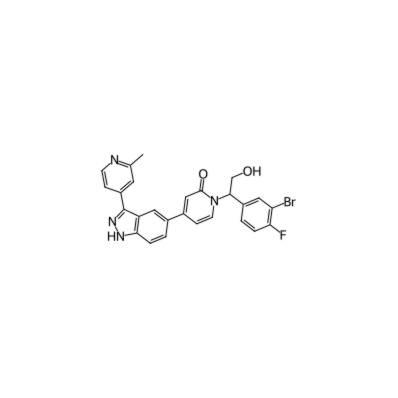 Cc1cc(-c2n[nH]c3ccc(-c4ccn(C(CO)c5ccc(F)c(Br)c5)c(=O)c4)cc23)ccn1